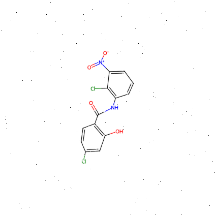 O=C(Nc1cccc([N+](=O)[O-])c1Cl)c1ccc(Cl)cc1O